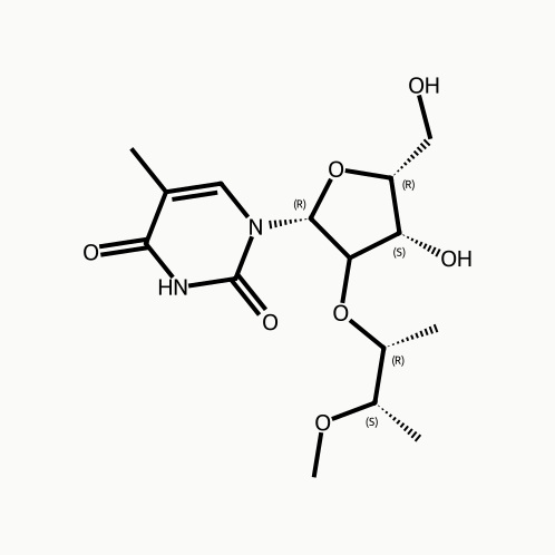 CO[C@@H](C)[C@@H](C)OC1[C@@H](O)[C@@H](CO)O[C@H]1n1cc(C)c(=O)[nH]c1=O